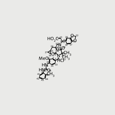 COc1cc(CN2C(=O)N([C@H](CN[C@@H](CC(=O)O)c3ccc4c(c3)OCO4)CC3CC3)C(=O)C2(C)C)ccc1NC(=O)Nc1ccccc1C.Cl